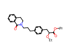 CCOC(Cc1ccc(CCCN2CCc3ccccc3C2=O)cc1)C(=O)OC(C)C